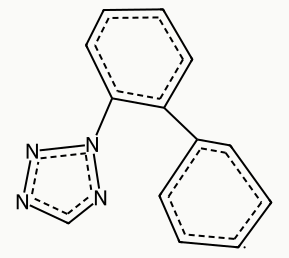 [c]1ccc(-c2ccccc2-n2ncnn2)cc1